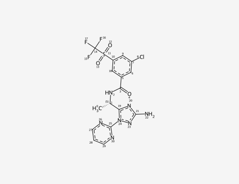 C[C@H](NC(=O)c1cc(Cl)cc(S(=O)(=O)C(F)(F)F)c1)c1nc(N)nn1-c1ncccn1